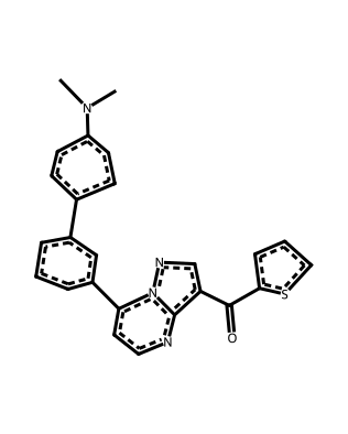 CN(C)c1ccc(-c2cccc(-c3ccnc4c(C(=O)c5cccs5)cnn34)c2)cc1